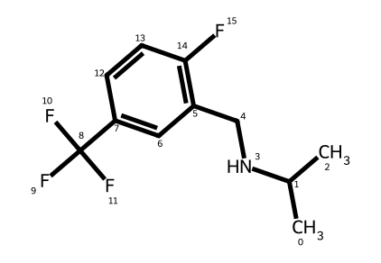 CC(C)NCc1cc(C(F)(F)F)ccc1F